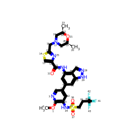 COc1ncc(-c2cc(NC(=O)c3csc(CN4C[C@@H](C)O[C@@H](C)C4)n3)c3cn[nH]c3c2)cc1NS(=O)(=O)CCC(F)(F)F